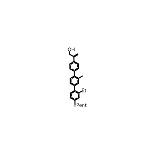 C=C(CO)c1ccc(-c2ccc(-c3ccc(CCCCC)cc3CC)cc2C)cc1